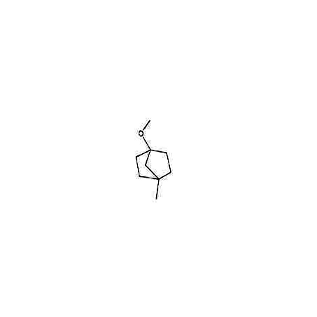 COC12CCC(C)(CC1)C2